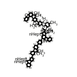 C=CC1=C(/C=C/N(C2=C(C)C=C(C)CC2C)C2C=CC(c3cc4c(cc3C)-c3c(ccc5oc6ccccc6c35)C4(C)C)=C(C)C2)C(CCCCCCC)(CCCCCCC)c2cc(-c3ccc(-c4ccc5c(c4)C(C)(C)c4cc(-c6ccc7c(c6)C(CCCCCCC)(CCCCCCC)c6ccccc6-7)ccc4-5)cc3)c3[nH]c4ccccc4c3c21